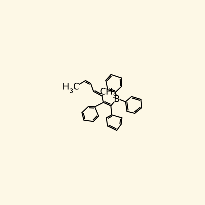 C\C=C/C=C(C)/C(=C(\B(c1ccccc1)c1ccccc1)c1ccccc1)c1ccccc1